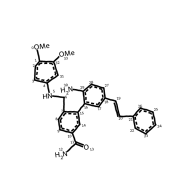 COc1ccc(NCc2ccc(C(N)=O)cc2-c2cc(C=Cc3ccccc3)ccc2N)cc1OC